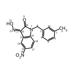 Cc1cccc(CN2C(=O)/C(=N\O)c3cc([N+](=O)[O-])ccc32)c1